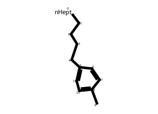 CCCCCCCCCCCc1ccc(C)cc1